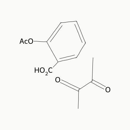 CC(=O)C(C)=O.CC(=O)Oc1ccccc1C(=O)O